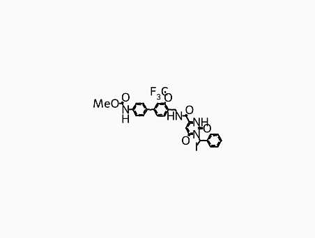 COC(=O)Nc1ccc(-c2ccc(CNC(=O)c3cc(=O)n(C(I)c4ccccc4)c(=O)[nH]3)c(OC(F)(F)F)c2)cc1